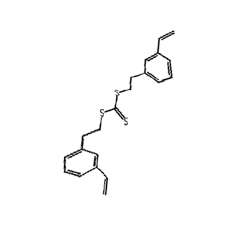 C=Cc1cccc(CCSC(=S)SCCc2cccc(C=C)c2)c1